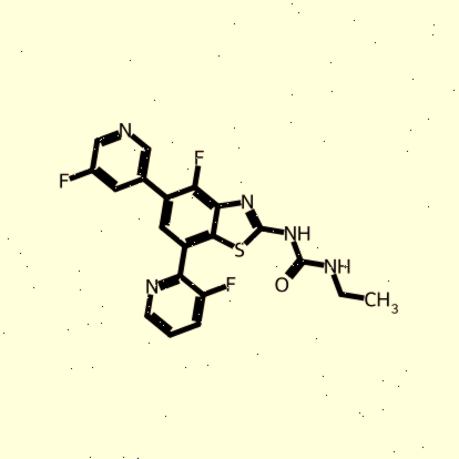 CCNC(=O)Nc1nc2c(F)c(-c3cncc(F)c3)cc(-c3ncccc3F)c2s1